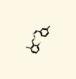 Cc1cccc(/[C]=N\OCc2c(F)cccc2F)c1